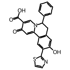 O=C(O)c1cn2c(cc1=O)-c1cc(-c3nccs3)c(O)cc1CC2c1ccccc1